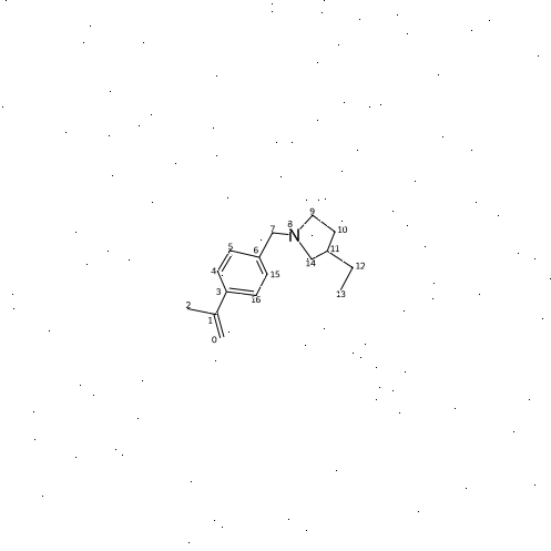 C=C(C)c1ccc(CN2CCC(CC)C2)cc1